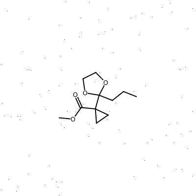 CCCC1(C2(C(=O)OC)CC2)OCCO1